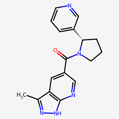 Cc1n[nH]c2ncc(C(=O)N3CCC[C@H]3c3cccnc3)cc12